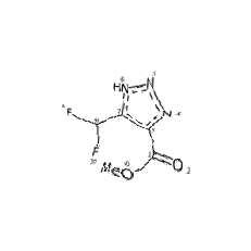 COC(=O)c1nn[nH]c1C(F)F